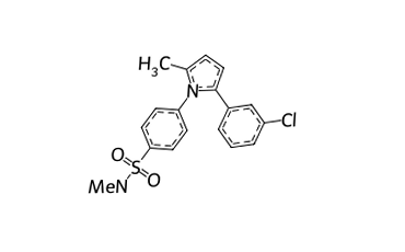 CNS(=O)(=O)c1ccc(-n2c(C)ccc2-c2cccc(Cl)c2)cc1